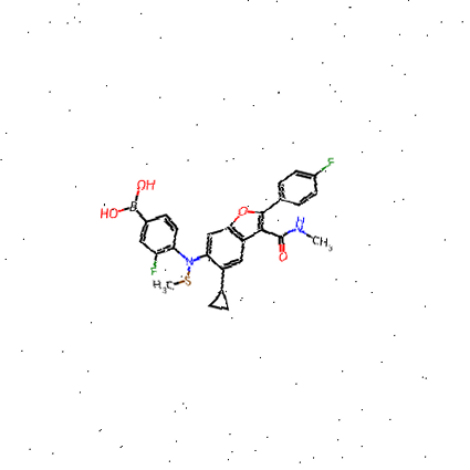 CNC(=O)c1c(-c2ccc(F)cc2)oc2cc(N(SC)c3ccc(B(O)O)cc3F)c(C3CC3)cc12